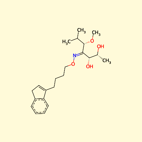 CO[C@H](/C(=N/OCCCCC1=CCc2ccccc21)[C@@H](O)[C@@H](C)O)C(C)C